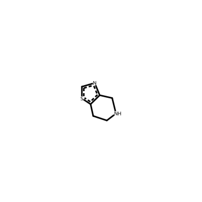 c1nc2c(s1)CCNC2